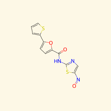 O=Nc1cnc(NC(=O)c2ccc(-c3cccs3)o2)s1